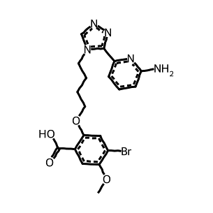 COc1cc(C(=O)O)c(OCCCCn2cnnc2-c2cccc(N)n2)cc1Br